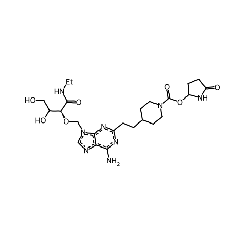 CCNC(=O)[C@@H](OCn1cnc2c(N)nc(CCC3CCN(C(=O)OC4CCC(=O)N4)CC3)nc21)C(O)CO